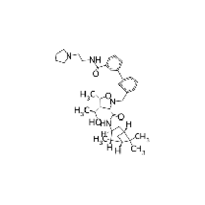 C[C@@H]1[C@@H](NC(=O)[C@@H]2[C@H]([C@H](C)O)[C@H](C)ON2Cc2cccc(-c3cccc(C(=O)NCCN4CCCC4)c3)c2)C[C@H]2C[C@@H]1C2(C)C